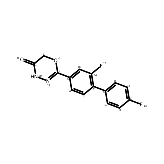 O=C1COC(c2ccc(-c3ccc(F)cc3)c(F)c2)=NN1